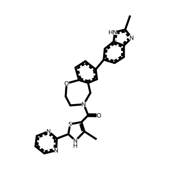 CC1=C(C(=O)N2CCOc3ccc(-c4ccc5nc(C)[nH]c5c4)cc3C2)SC(c2ncccn2)N1